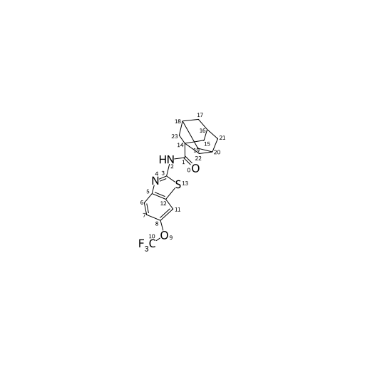 O=C(Nc1nc2ccc(OC(F)(F)F)cc2s1)C12CC3CC(CC(C3)C1)C2